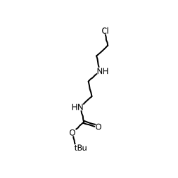 CC(C)(C)OC(=O)NCCNCCCl